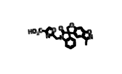 Cc1noc2cc3c(cc12)C1(CO3)C(=O)N(Cc2nc(C(=O)O)co2)c2ccccc21